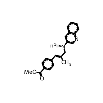 CCCN(CC(C)=Cc1ccc(C(=O)OC)cc1)c1cnc2ccccc2c1